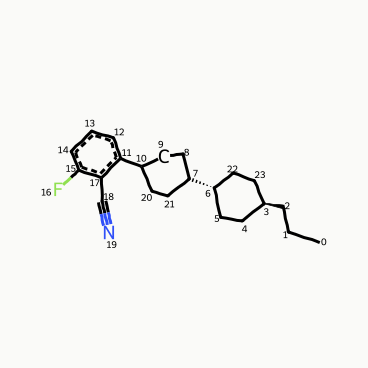 CCC[C@H]1CC[C@H](C2CCC(c3cccc(F)c3C#N)CC2)CC1